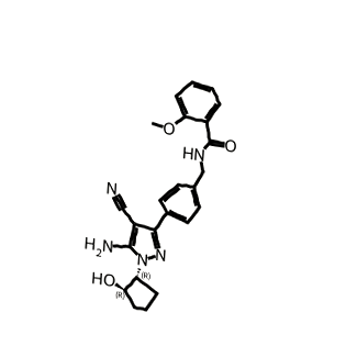 COc1ccccc1C(=O)NCc1ccc(-c2nn([C@@H]3CCC[C@H]3O)c(N)c2C#N)cc1